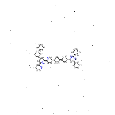 c1ccc(-c2cccc(-c3cc(-c4ccccn4)nc(-c4ccc(-c5ccc(-c6ccc(-c7cc(-c8ccccc8)nc(-c8ccccc8)n7)cc6)cc5)cn4)c3)c2)cc1